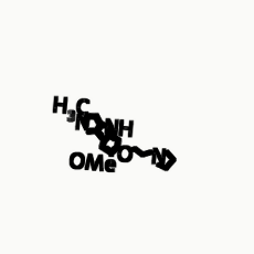 COc1cc2c(cc1OCCCN1CCCC1)[nH]c1cc(C)ncc12